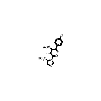 CC(=O)SC(C(=O)c1ccc(Cl)cc1)[C@@H](C)C(=O)N1CSC[C@H]1C(=O)O